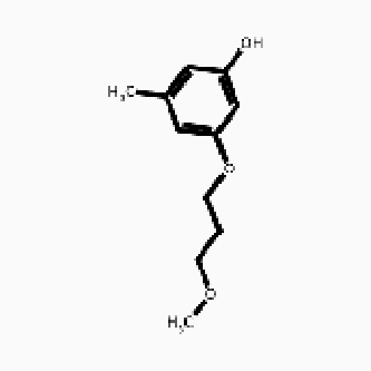 COCCCOc1cc(C)cc(O)c1